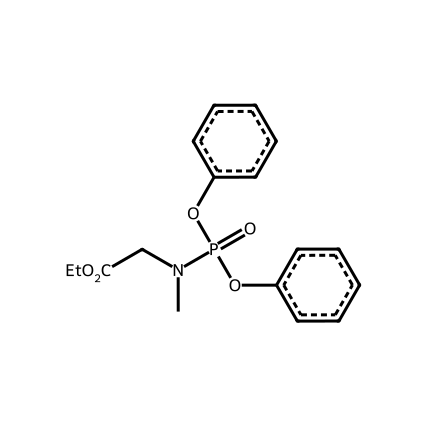 CCOC(=O)CN(C)P(=O)(Oc1ccccc1)Oc1ccccc1